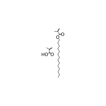 C=C(C)C(=O)O.C=C(C)C(=O)OCCCCCCCCCCCCCC